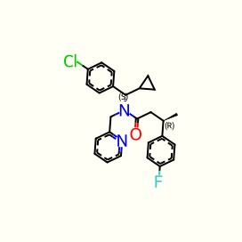 C[C@H](CC(=O)N(Cc1ccccn1)[C@H](c1ccc(Cl)cc1)C1CC1)c1ccc(F)cc1